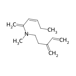 C=CC(=C)CCN(C)C(=C)/C=C\CC